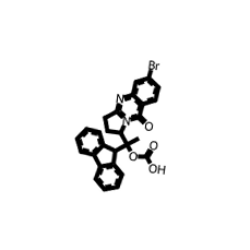 CC(OC(=O)O)(C1c2ccccc2-c2ccccc21)C1CCc2nc3cc(Br)ccc3c(=O)n21